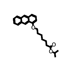 CC(C)OC(=O)CCCCCCOc1cccc2cc3ccccc3cc12